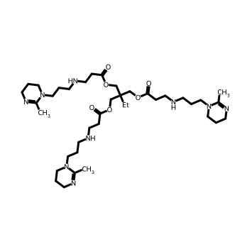 CCC(COC(=O)CCNCCCN1CCCN=C1C)(COC(=O)CCNCCCN1CCCN=C1C)COC(=O)CCNCCCN1CCCN=C1C